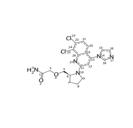 NC(=O)COC[C@@H]1CCCN1c1cc(-n2ccnc2)c2ccc(Cl)c(Cl)c2n1